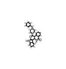 CN1C(=O)c2ccccc2C(C(=O)N2CCN(Cc3ccccc3)CC2)C1c1c[nH]c2ccccc12